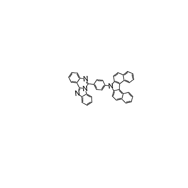 c1ccc2c(c1)ccc1c2c2c3ccccc3ccc2n1-c1ccc(-c2nc3ccccc3c3nc4ccccc4n23)cc1